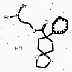 CC(C)N(CCOC(=O)C1(c2ccccc2)CCC2(CC1)OCCO2)C(C)C.Cl